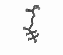 CC(=O)SCCC(F)C(F)(F)C(F)(F)F